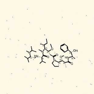 CC[C@H](C)[C@@H]([C@@H](CC(=O)N1CCC[C@H]1[C@H](OC)[C@@H](C)C(=O)N[C@H](C)[C@@H](O)c1ccccc1)OC)N(C)C(=O)[C@@H](NC[C@H](C(C)C)N(C)C(C)C)C(C)C